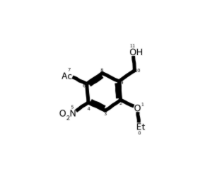 CCOc1cc([N+](=O)[O-])c(C(C)=O)cc1CO